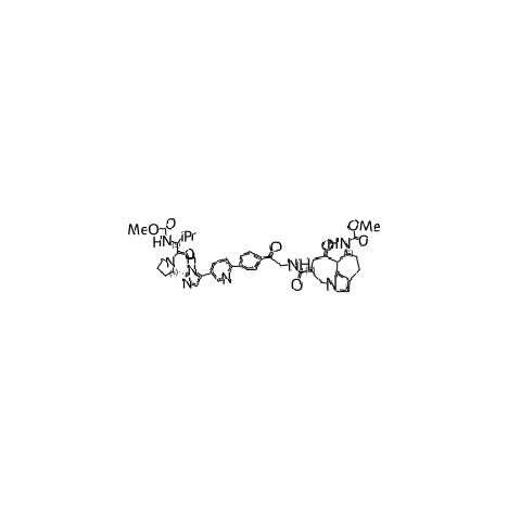 COC(=O)N[C@H]1CCc2ccn3c2C1C(=O)C[C@H](C(=O)NCC(=O)c1ccc(-c2ccc(-c4cnc([C@@H]5CCCN5C(=O)[C@@H](NC(=O)OC)C(C)C)[nH]4)cn2)cc1)C3